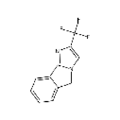 FC(F)(F)c1cn2c(n1)-c1ccccc1C2